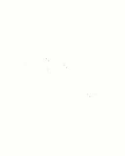 CC(C)(C)NCC(=O)NC(CCCCN1C(=O)C=CC1=O)C(=O)O